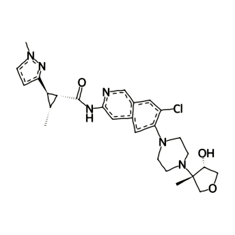 C[C@H]1[C@@H](C(=O)Nc2cc3cc(N4CCN([C@@]5(C)COC[C@H]5O)CC4)c(Cl)cc3cn2)[C@@H]1c1ccn(C)n1